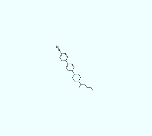 CCCCC(C)C1CCC(c2ccc(-c3ccc(C#N)cc3)cc2)CC1